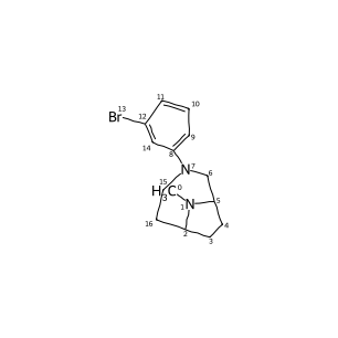 CN1C2CCC1CN(c1cccc(Br)c1)CC2